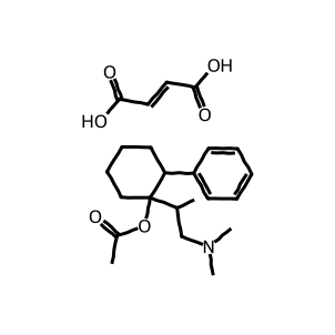 CC(=O)OC1(C(C)CN(C)C)CCCCC1c1ccccc1.O=C(O)C=CC(=O)O